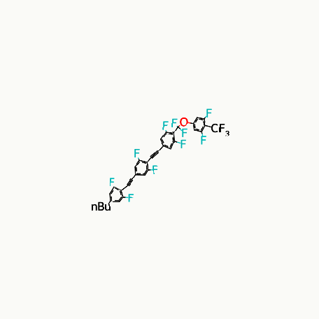 CCCCc1cc(F)c(C#Cc2cc(F)c(C#Cc3cc(F)c(C(F)(F)Oc4cc(F)c(C(F)(F)F)c(F)c4)c(F)c3)c(F)c2)c(F)c1